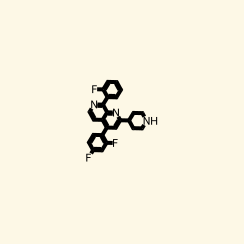 Fc1ccc(-c2cc(C3CCNCC3)nc3c(-c4ccccc4F)nccc23)c(F)c1